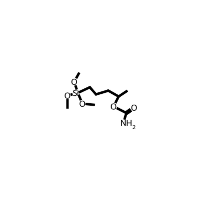 CO[Si](CCCC(C)OC(N)=O)(OC)OC